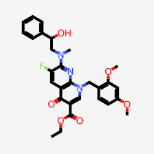 CCOC(=O)c1cn(Cc2ccc(OC)cc2OC)c2nc(N(C)CC(O)c3ccccc3)c(F)cc2c1=O